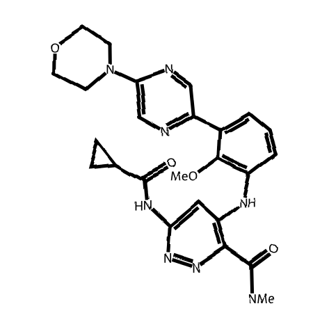 CNC(=O)c1nnc(NC(=O)C2CC2)cc1Nc1cccc(-c2cnc(N3CCOCC3)cn2)c1OC